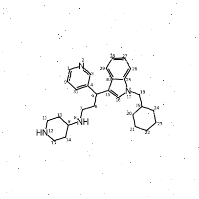 c1cncc(C(CCNC2CCNCC2)c2cn(CC3CCCCC3)c3ccccc23)c1